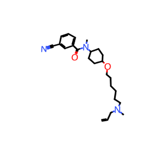 C=CCN(C)CCCCCCOC1CCC(N(C)C(=O)c2cccc(C#N)c2)CC1